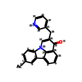 CC(=O)c1ccc2c(c1)c1cccc3c(=O)c(Cc4cccnc4)cn2c31